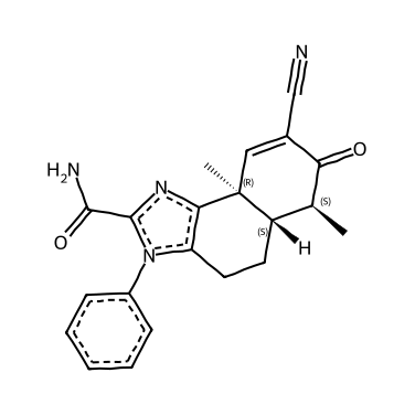 C[C@@H]1C(=O)C(C#N)=C[C@]2(C)c3nc(C(N)=O)n(-c4ccccc4)c3CC[C@@H]12